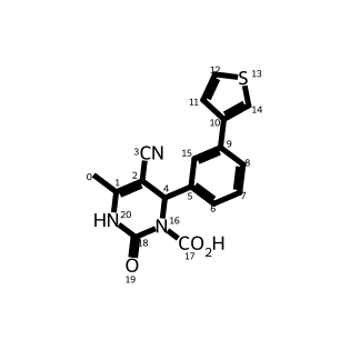 CC1=C(C#N)C(c2cccc(-c3ccsc3)c2)N(C(=O)O)C(=O)N1